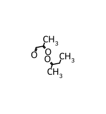 CC(=O)C=O.CCC(C)=O